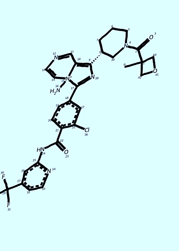 CC1(C(=O)N2CCC[C@@H](C3=C4C=NC=C[N+]4(N)C(c4ccc(C(=O)Nc5cc(C(F)(F)F)ccn5)c(Cl)c4)=N3)C2)COC1